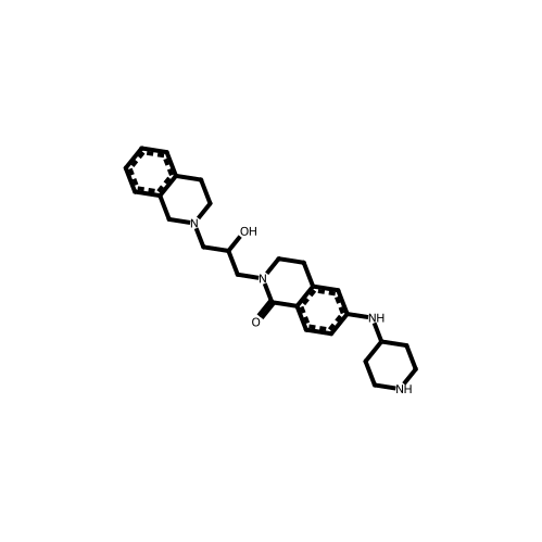 O=C1c2ccc(NC3CCNCC3)cc2CCN1CC(O)CN1CCc2ccccc2C1